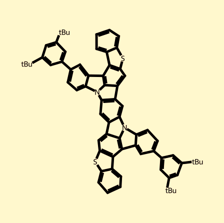 CC(C)(C)c1cc(-c2ccc3c(c2)c2c4c(cc5c6cc7c(cc6n3c52)c2cc3sc5ccccc5c3c3c5cc(-c6cc(C(C)(C)C)cc(C(C)(C)C)c6)ccc5n7c23)sc2ccccc24)cc(C(C)(C)C)c1